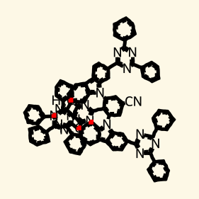 Cc1cc(C)nc(-c2c(-n3c4cc(-c5nc(-c6ccccc6)nc(-c6ccccc6)n5)ccc4c4ccc(-c5nc(-c6ccccc6)nc(-c6ccccc6)n5)cc43)cc(C#N)cc2-n2c3cc(-c4nc(-c5ccccc5)nc(-c5ccccc5)n4)ccc3c3ccc(-c4nc(-c5ccccc5)nc(-c5ccccc5)n4)cc32)n1